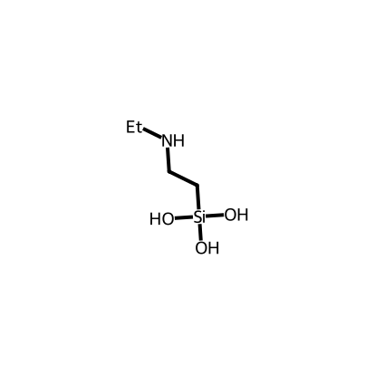 CCNCC[Si](O)(O)O